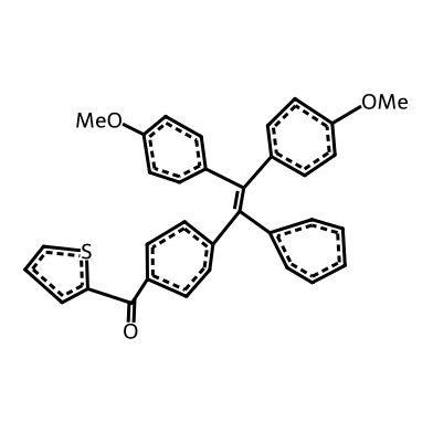 COc1ccc(C(=C(c2ccccc2)c2ccc(C(=O)c3cccs3)cc2)c2ccc(OC)cc2)cc1